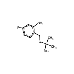 CC(C)(C)[Si](C)(C)OCc1cnc(F)cc1N